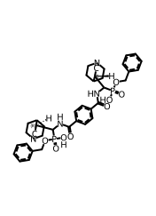 O=C(NC([C@H]1CN2CCC1CC2)P(=O)(O)OCc1ccccc1)c1ccc(C(=O)NC([C@H]2CN3CCC2CC3)P(=O)(O)OCc2ccccc2)cc1